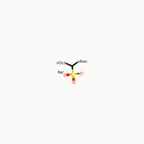 CCCCCCCCCC(CCCCCCCC)S(=O)(=O)[O-].[Na+]